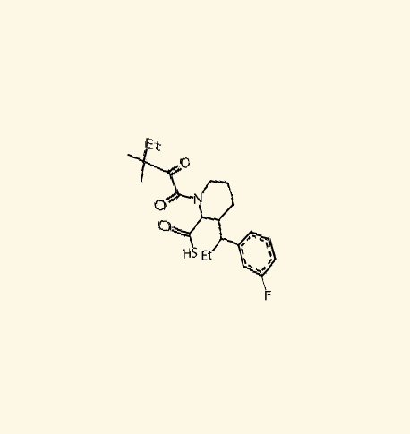 CCC(c1cccc(F)c1)C1CCCN(C(=O)C(=O)C(C)(C)CC)C1C(=O)S